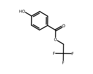 O=C(OCC(F)(F)F)c1ccc(O)cc1